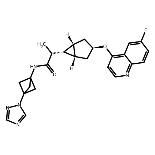 CC(C(=O)NC12CC(n3cncn3)(C1)C2)[C@@H]1[C@@H]2C[C@@H](Oc3ccnc4ccc(F)cc34)C[C@@H]21